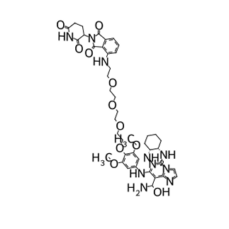 COc1cc(Nc2nc(N[C@H]3CCCC[C@H]3N)n3ccnc3c2C(N)O)cc(OC)c1OCCOCCOCCOCCNc1cccc2c1C(=O)N(C1CCC(=O)NC1=O)C2=O